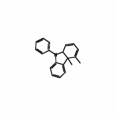 CC1=CC=CC2N(c3ccccc3)c3ccccc3C12C